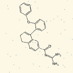 NC(N)=NC(=O)c1ccc2c(c1)C(c1ccccc1Oc1ccccc1)=CCC2